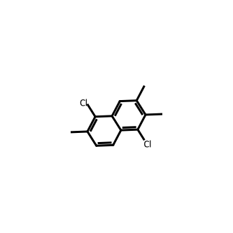 Cc1cc2c(Cl)c(C)ccc2c(Cl)c1C